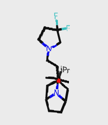 CC(C)C1CC2CCC(C1)N2C(C)(C)CCN1CCC(F)(F)C1